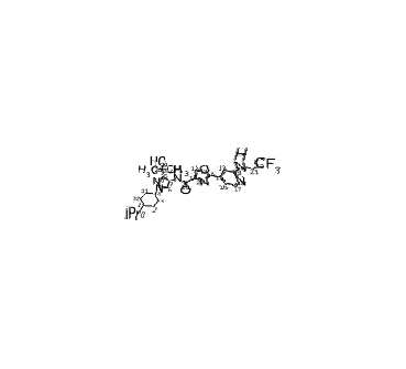 CC(C)C1CCC(n2cc(NC(=O)c3coc(-c4ccnc(NCC(F)(F)F)c4)n3)c(C(C)(C)O)n2)CC1